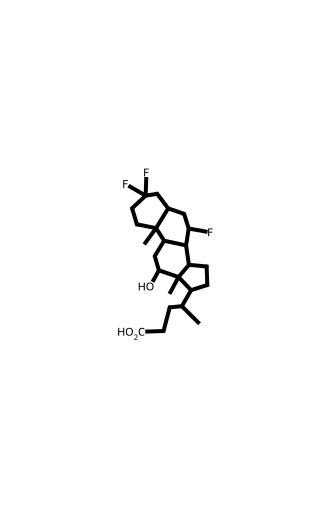 CC(CCC(=O)O)C1CCC2C3C(F)CC4CC(F)(F)CCC4(C)C3CC(O)C12C